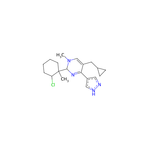 CN1C=C(CC2CC2)C(c2cn[nH]c2)=NC1C1(C)CCCCC1Cl